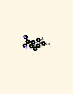 Cc1cc(C)c(B2c3ccccc3N3c4ccc(-c5cc(-c6cccnc6)cc(-c6cccnc6)c5)cc4[Si](c4ccccc4)(c4ccccc4)c4cccc2c43)c(C)c1